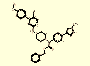 Cn1cc(-c2ccc(N(C(=O)NCc3ccccc3)[C@H]3CC[C@H](Nc4ncc(C#N)c(-c5ccc(OC(F)(F)F)cc5)n4)CC3)nc2)cn1